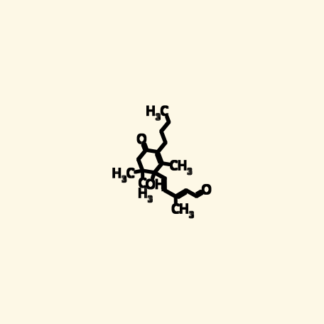 CCCCC1=C(C)C(O)(C=CC(C)=CC=O)C(C)(C)CC1=O